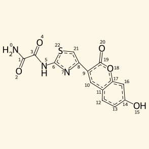 NC(=O)C(=O)Nc1nc(-c2cc3ccc(O)cc3oc2=O)cs1